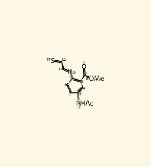 COC(=O)c1cc(NC(C)=O)ccc1N=CC=S